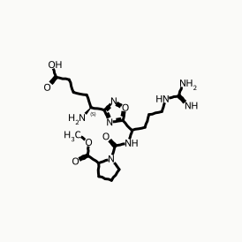 COC(=O)C1CCCN1C(=O)NC(CCCNC(=N)N)c1nc([C@@H](N)CCCC(=O)O)no1